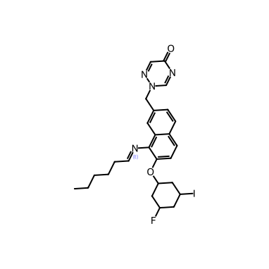 CCCCC/C=N/c1c(OC2CC(F)CC(I)C2)ccc2ccc(Cn3cnc(=O)cn3)cc12